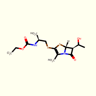 CC(O)[C@H]1C(=O)N2C(C(=O)O)=C(SC[C@@H](NC(=O)OCC(Cl)(Cl)Cl)C(=O)O)S[C@H]12